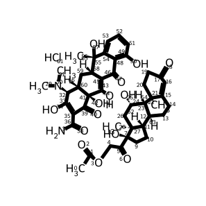 CC(=O)OCC(=O)[C@@]1(O)CC[C@H]2[C@@H]3CCC4=CC(=O)CC[C@]4(C)[C@H]3[C@@H](O)C[C@@]21C.CN(C)[C@@H]1C(O)=C(C(N)=O)C(=O)[C@@]2(O)C(O)=C3C(=O)c4c(O)cccc4[C@@](C)(O)[C@H]3C[C@@H]12.Cl